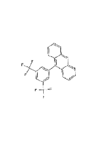 FC(F)(F)c1cc(-c2c3ccccc3cc3ccccc23)cc(C(F)(F)F)c1